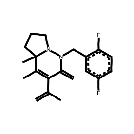 C=C(C)C1=C(C)C2(C)CCCN2N(Cc2cc(F)ccc2F)C1=C